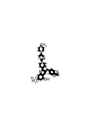 CN1CCN(c2cnc(N3CCC(c4nc5c(cc4[C@@H](F)c4ccc(C(F)(F)F)cc4)C(O)CC(C)(C)C5)CC3)nc2)CC1